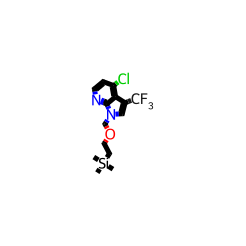 C[Si](C)(C)CCOCn1cc(C(F)(F)F)c2c(Cl)ccnc21